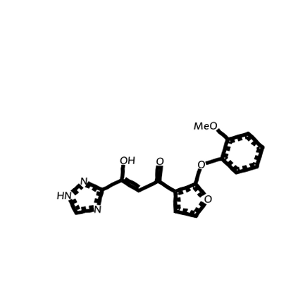 COc1ccccc1Oc1occc1C(=O)C=C(O)c1nc[nH]n1